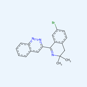 CC1(C)Cc2ccc(Br)cc2C(c2cc3ccccc3nn2)=N1